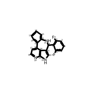 Fc1cccc(F)c1C1Nc2ccccc2-c2ccnc3[nH]cc1c23